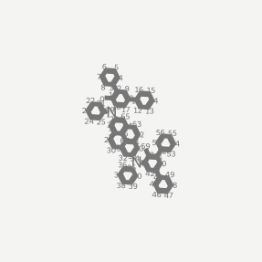 Cc1c(-c2ccccc2)cc(-c2ccccc2)cc1N(c1ccccc1)c1cc2ccc3cc(N(c4ccccc4)c4cc(-c5ccccc5)cc(-c5ccccc5)c4C)cc4ccc(c1)c2c34